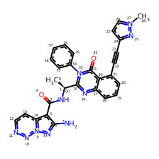 C[C@H](NC(=O)c1c(N)nn2nnccc12)c1nc2cccc(C#Cc3ccn(C)n3)c2c(=O)n1-c1ccccc1